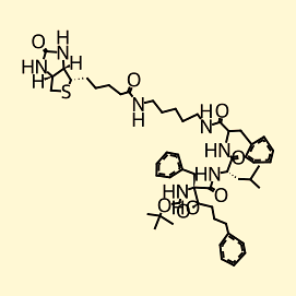 CC(C)C[C@H](NC(=O)[C@@](Cc1ccccc1)(NC(=O)OC(C)(C)C)[C@H](O)CCCc1ccccc1)C(=O)NC(Cc1ccccc1)C(=O)NCCCCCNC(=O)CCCC[C@@H]1SC[C@@H]2NC(=O)N[C@@H]21